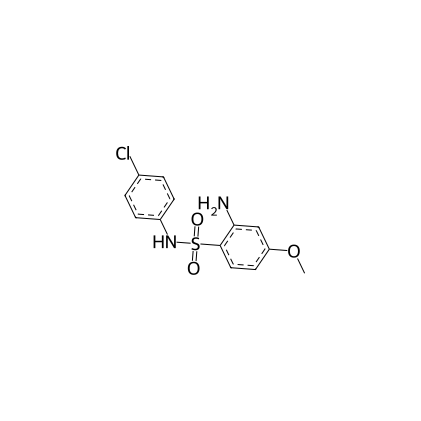 COc1ccc(S(=O)(=O)Nc2ccc(Cl)cc2)c(N)c1